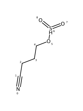 N#CCCCO[SH](=O)=O